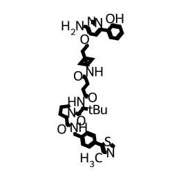 Cc1ncsc1-c1ccc(CNC(=O)C2CCCN2C(=O)C(NC(=O)CCC(=O)NC23CC2(CCOc2cc(-c4ccccc4O)nnc2N)C3)C(C)(C)C)cc1